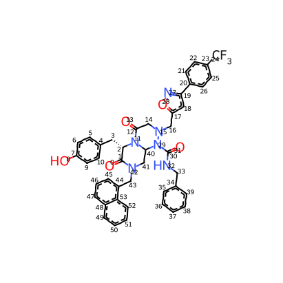 O=C1[C@H](Cc2ccc(O)cc2)N2C(=O)CN(Cc3cc(-c4ccc(C(F)(F)F)cc4)no3)N(C(=O)NCc3ccccc3)C2CN1Cc1cccc2ccccc12